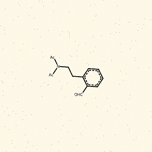 CC(=O)N(CCc1ccccc1C=O)C(C)=O